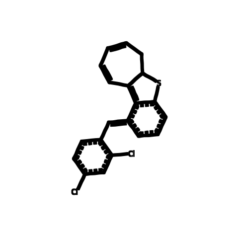 Clc1ccc(C=c2cccc3c2=C2C=CC=CCC2S3)c(Cl)c1